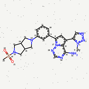 CC(C)n1nncc1-c1cc(-c2cccc(N3CC4CN(S(C)(=O)=O)CC4C3)c2)n2ncnc(N)c12